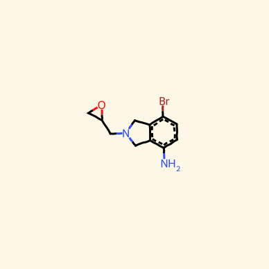 Nc1ccc(Br)c2c1CN(CC1CO1)C2